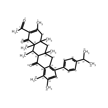 CC(=O)C1=C(C)CC2(C)CC3(C)Cc4c(-c5ccc(C(C)C)cc5)cc(C)c(C)c4C(=O)C3C(C)C2(C)C1=O